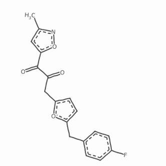 Cc1cc(C(=O)C(=O)Cc2ccc(Cc3ccc(F)cc3)o2)on1